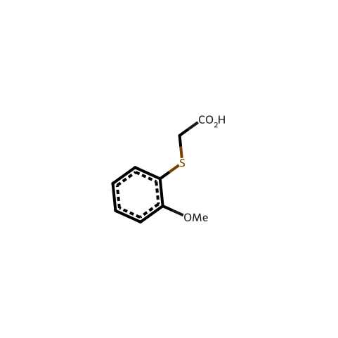 COc1ccccc1SCC(=O)O